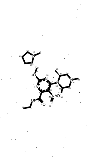 CCOC(=O)c1nc(OC[C@@H]2CCCN2C)nc(N2C(C)CN(C)C[C@@H]2C)c1[N+](=O)[O-]